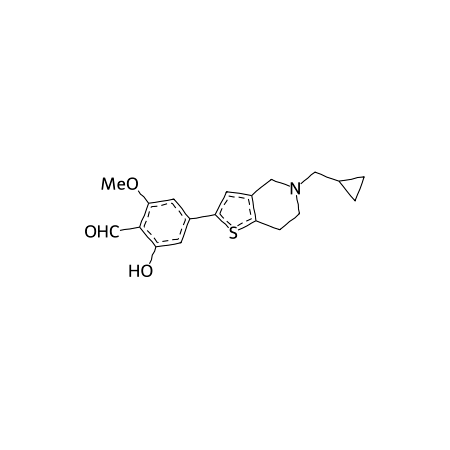 COc1cc(-c2cc3c(s2)CCN(CC2CC2)C3)cc(O)c1C=O